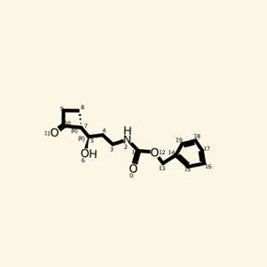 O=C(NCC[C@@H](O)[C@H]1CCC1=O)OCc1ccccc1